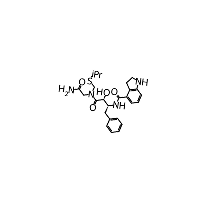 CC(C)SCN(CC(N)=O)C(=O)[C@@H](O)[C@H](Cc1ccccc1)NC(=O)c1cccc2c1CCN2